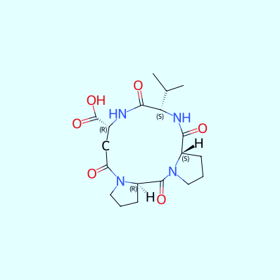 CC(C)[C@@H]1NC(=O)[C@@H]2CCCN2C(=O)[C@H]2CCCN2C(=O)C[C@H](C(=O)O)NC1=O